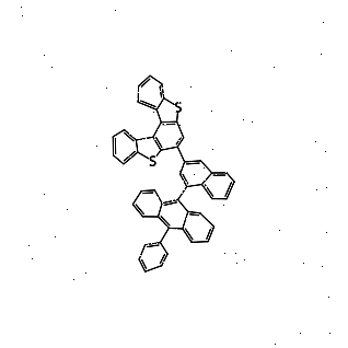 c1ccc(-c2c3ccccc3c(-c3cc(-c4cc5sc6ccccc6c5c5c4sc4ccccc45)cc4ccccc34)c3ccccc23)cc1